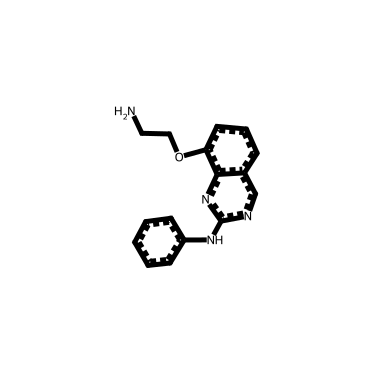 NCCOc1cccc2cnc(Nc3ccccc3)nc12